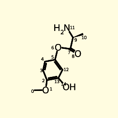 COc1ccc(OC(=O)[C@H](C)N)cc1O